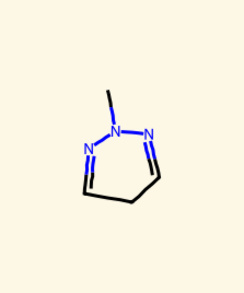 CN1N=CCC=N1